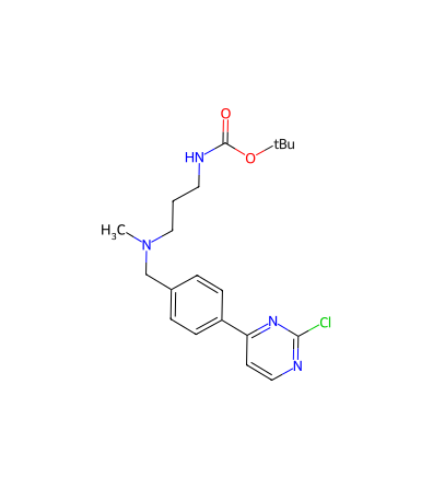 CN(CCCNC(=O)OC(C)(C)C)Cc1ccc(-c2ccnc(Cl)n2)cc1